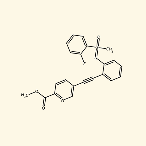 COC(=O)c1ccc(C#Cc2ccccc2N=S(C)(=O)c2ccccc2F)cn1